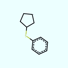 [CH]1CCC(Sc2ccccc2)C1